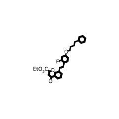 CCOC(=O)c1cc(=O)c2cccc(C=Cc3ccc(OCCCCc4ccccc4)cc3F)c2o1